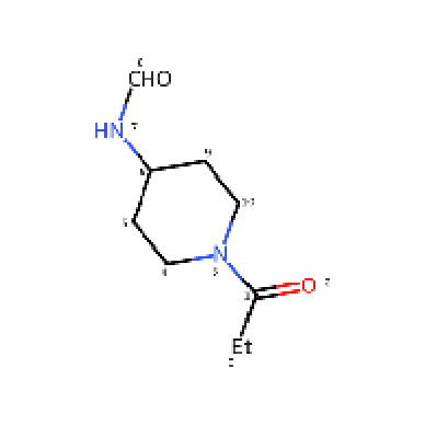 CCC(=O)N1CCC(NC=O)CC1